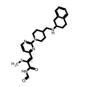 CS/C(=C\c1ccnc(N2CCC(CNC3CCc4ccccc4C3)CC2)n1)C(=O)NC=O